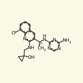 C[C@H](Nc1ncnc(N)n1)c1cc2cccc(Cl)c2nc1NCC1(O)CC1